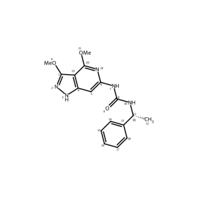 COc1n[nH]c2cc(NC(=O)N[C@H](C)c3ccccc3)nc(OC)c12